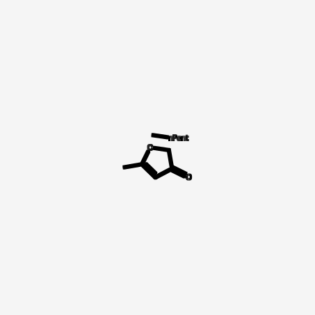 CC1=CC(=O)CO1.CCCCCC